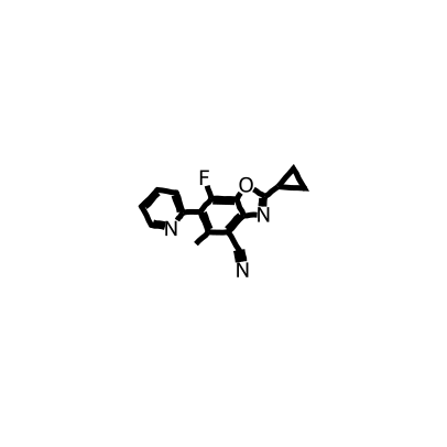 Cc1c(-c2ccccn2)c(F)c2oc(C3CC3)nc2c1C#N